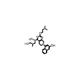 CCCN(CC(C)CO)c1nc(OCCN(C)C)nc2c1CCN(c1cc(O)cc3ccccc13)C2